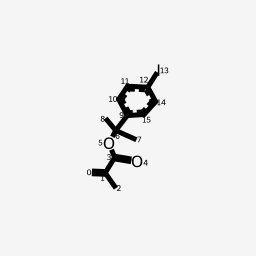 C=C(C)C(=O)OC(C)(C)c1ccc(I)cc1